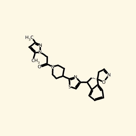 Cc1cc(C)n(CC(=O)N2CCC(c3nc(C4C[C@@]5(CC=NO5)c5ccccc54)cs3)CC2)n1